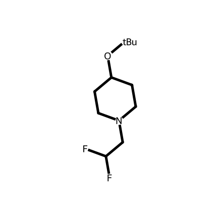 CC(C)(C)OC1CCN(CC(F)F)CC1